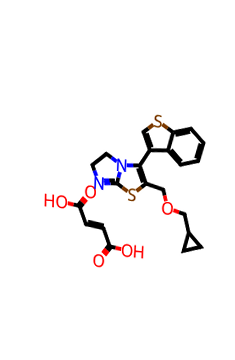 O=C(O)C=CC(=O)O.c1ccc2c(C3=C(COCC4CC4)SC4=NCCN43)csc2c1